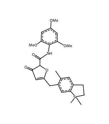 COc1cc(OC)c(NC(=O)C2OC(Cc3cc4c(cc3C)CC[Si]4(C)C)=CC2=O)c(OC)c1